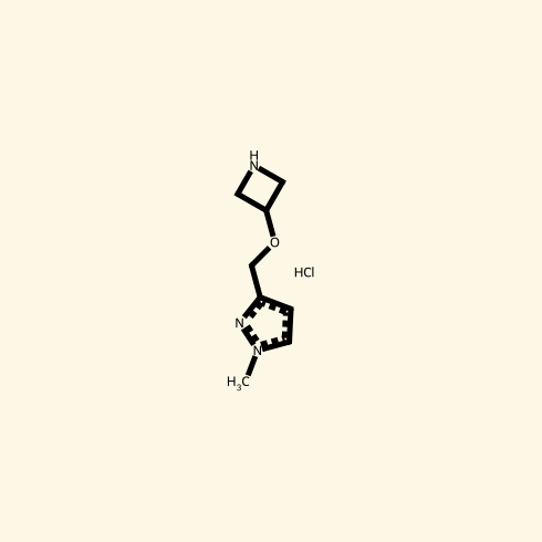 Cl.Cn1ccc(COC2CNC2)n1